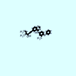 Cc1cc(Nc2ncnc3ccc(C#CC(O)C(C)CN)cc23)ccc1Oc1ccccc1